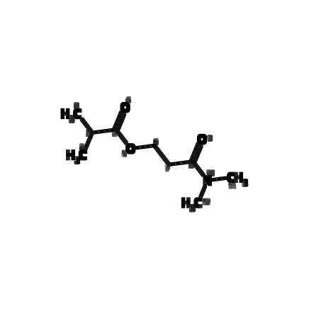 CC(C)C(=O)OCCC(=O)N(C)C